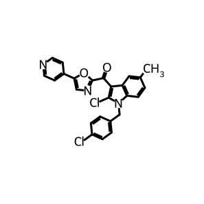 Cc1ccc2c(c1)c(C(=O)c1ncc(-c3ccncc3)o1)c(Cl)n2Cc1ccc(Cl)cc1